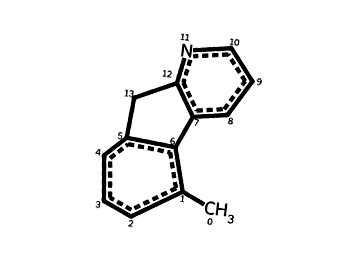 Cc1cccc2c1-c1cccnc1C2